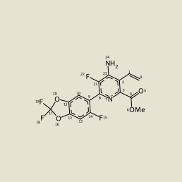 C=Cc1c(C(=O)OC)nc(-c2cc3c(cc2F)OC(F)(F)O3)c(F)c1N